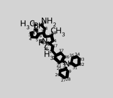 CBn1cccc1/C(CCN)=C1/C(C)=CC(C)(/C=C/c2ccc(N(c3ccccc3)c3ccccc3)cc2)N1F